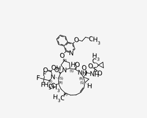 CCCOc1cnc(O[C@@H]2C[C@H]3C(=O)N[C@]4(C(=O)NS(=O)(=O)C5(C)CC5)C[C@H]4C=CCC[C@@H](C)C[C@@H](C)[C@H](N(C(=O)O)[C@H](C)C(F)(F)F)C(=O)N3C2)c2ccccc12